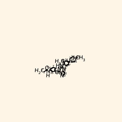 C=CC(=O)Nc1cccc(Oc2nc(Nc3ccc(N4CCN(C)CC4)cc3C)nc3ccnn23)c1